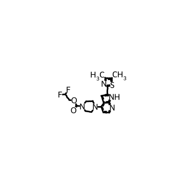 Cc1nc(-c2cc3c(N4CCN(C(=O)OCC(F)F)CC4)ccnc3[nH]2)sc1C